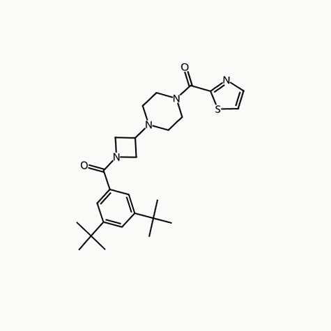 CC(C)(C)c1cc(C(=O)N2CC(N3CCN(C(=O)c4nccs4)CC3)C2)cc(C(C)(C)C)c1